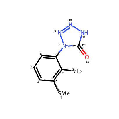 [3H]c1c(SC)cccc1-n1nn[nH]c1=O